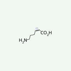 NCCC/C=C\C(=O)O